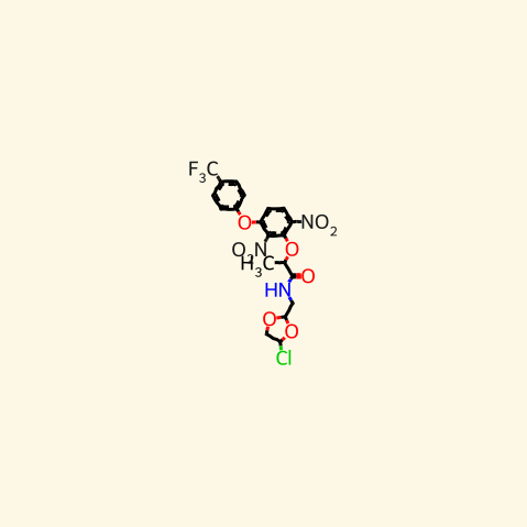 CC(Oc1c([N+](=O)[O-])ccc(Oc2ccc(C(F)(F)F)cc2)c1[N+](=O)[O-])C(=O)NCC1OCC(Cl)O1